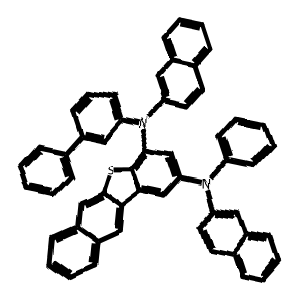 c1ccc(-c2cccc(N(c3ccc4ccccc4c3)c3cc(N(c4ccccc4)c4ccc5ccccc5c4)cc4c3sc3cc5ccccc5cc34)c2)cc1